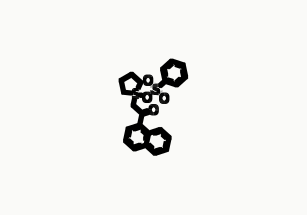 O=C(CS1(OS(=O)(=O)c2ccccc2)CCCC1)c1cccc2ccccc12